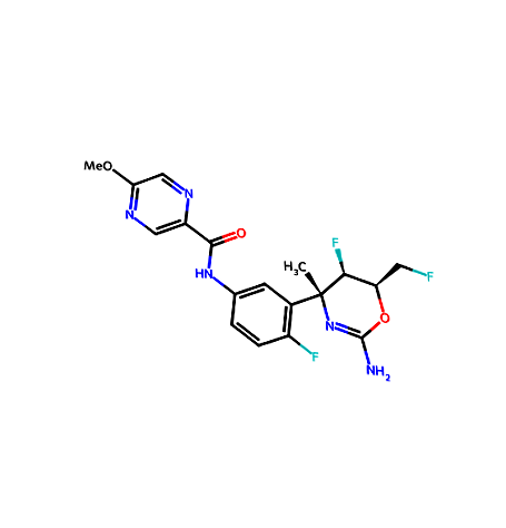 COc1cnc(C(=O)Nc2ccc(F)c([C@@]3(C)N=C(N)O[C@H](CF)[C@@H]3F)c2)cn1